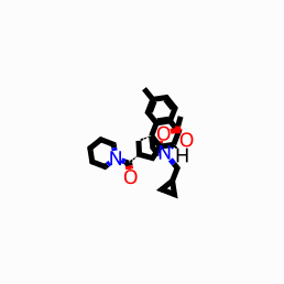 CC(=O)O[C@@]12C[C@H](C(=O)N3CCCCC3)C[C@@]13CCN(CC1CC1)[C@@H]2Cc1ccc(C)cc13